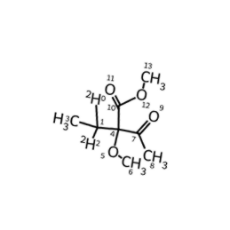 [2H]C([2H])(C)C(OC)(C(C)=O)C(=O)OC